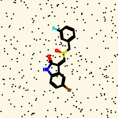 O=C1Nc2ccc(Br)cc2C1=C[S+]([O-])Cc1cccc(F)c1